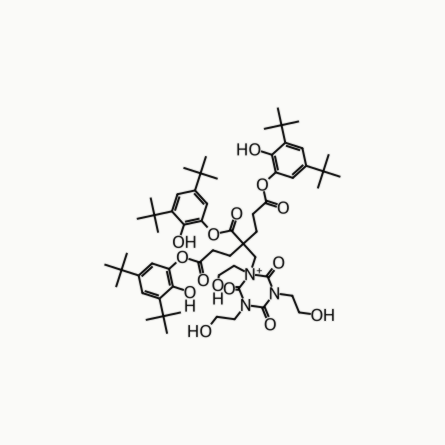 CC(C)(C)c1cc(OC(=O)CCC(CCC(=O)Oc2cc(C(C)(C)C)cc(C(C)(C)C)c2O)(C[N+]2(CCO)C(=O)N(CCO)C(=O)N(CCO)C2=O)C(=O)Oc2cc(C(C)(C)C)cc(C(C)(C)C)c2O)c(O)c(C(C)(C)C)c1